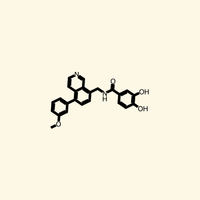 COc1cccc(-c2ccc(CNC(=O)c3ccc(O)c(O)c3)c3cnccc23)c1